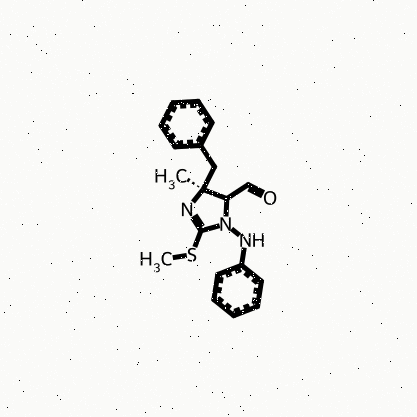 CSC1=N[C@@](C)(Cc2ccccc2)C(C=O)N1Nc1ccccc1